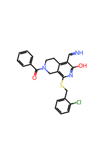 N=Cc1c(O)nc(SCc2ccccc2Cl)c2c1CCN(C(=O)c1ccccc1)C2